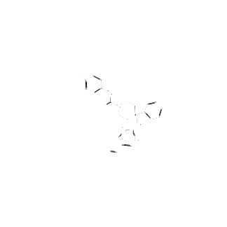 Cc1ccc(NC(=O)N2CCC(Nc3ncc(C=O)cn3)(c3ccccc3)CC2)cc1